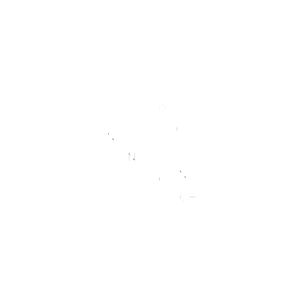 CN1c2cc3oc(=O)cc(-c4cnccn4)c3cc2OC1O